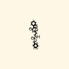 O=C(NCCc1nc(=O)c2c3c(sc2o1)CCCC3)OCc1ccccc1